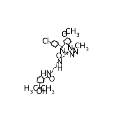 COc1ccc2c(c1)C(c1ccc(Cl)cc1)=N[C@@H](CC(=O)NCCCCNC(=O)c1cccc(C(C)(C)O)c1)c1nnc(C)n1-2